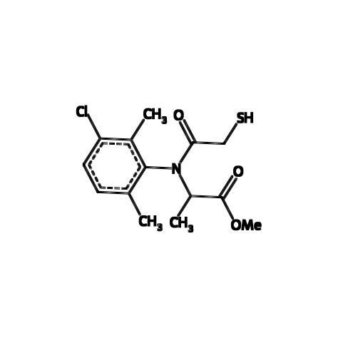 COC(=O)C(C)N(C(=O)CS)c1c(C)ccc(Cl)c1C